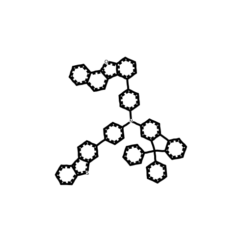 c1ccc(C2(c3ccccc3)c3ccccc3-c3ccc(N(c4ccc(-c5ccc6c(c5)sc5ccccc56)cc4)c4ccc(-c5cccc6oc7c8ccccc8ccc7c56)cc4)cc32)cc1